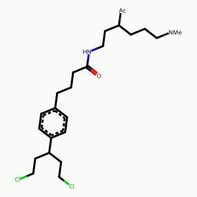 CNCCCC(CCNC(=O)CCCc1ccc(C(CCCl)CCCl)cc1)C(C)=O